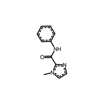 Cn1ccnc1C(=O)Nc1c[c]ccc1